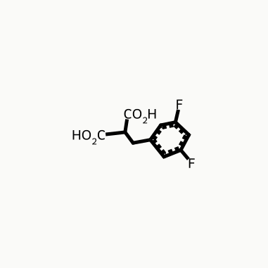 O=C(O)C(Cc1cc(F)cc(F)c1)C(=O)O